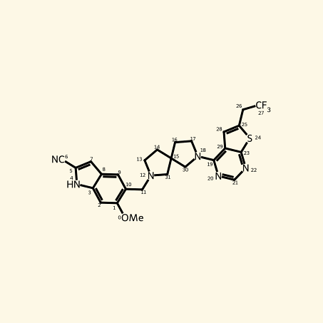 COc1cc2[nH]c(C#N)cc2cc1CN1CCC2(CCN(c3ncnc4sc(CC(F)(F)F)cc34)C2)C1